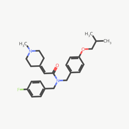 CC(C)COc1ccc(CN(Cc2ccc(F)cc2)C(=O)C=C2CCN(C)CC2)cc1